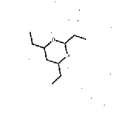 CCC1CC(CC)OC(CC)O1